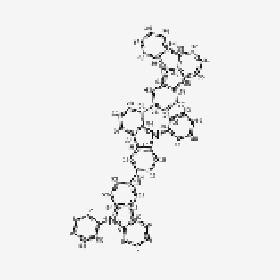 c1ccc(-n2c3ccccc3c3cc(-c4ccc5c(c4)c4cccc(-c6ccc7c8cccc9c%10ccccc%10n(c7c6)c98)c4n5-c4ccccc4)ccc32)cc1